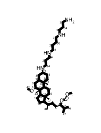 COSO[C@H](CC[C@@H](C)C1CCC2[C@]1(C)CCC1[C@@]3(C)CC[C@H](NCCCNCCCCNCCCN)CC3C[C@@H](OC)[C@]12C)C(C)C